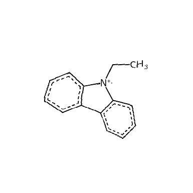 CC[N+]1c2ccccc2-c2ccccc21